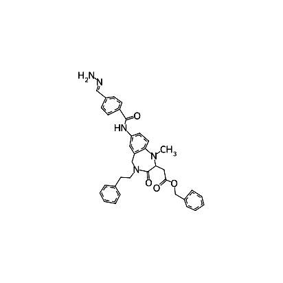 CN1c2ccc(NC(=O)c3ccc(C=NN)cc3)cc2CN(CCc2ccccc2)C(=O)C1CC(=O)OCc1ccccc1